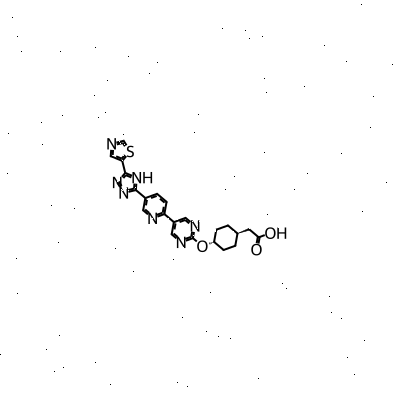 O=C(O)C[C@H]1CC[C@H](Oc2ncc(-c3ccc(-c4nnc(-c5cncs5)[nH]4)cn3)cn2)CC1